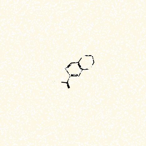 COC(=O)c1ccc2c(c1)SCCO2